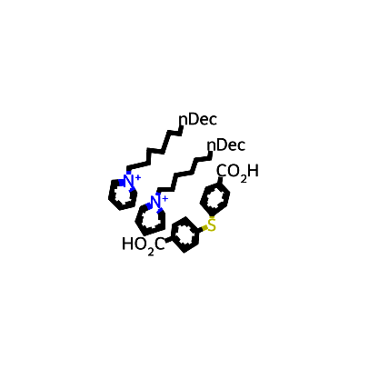 CCCCCCCCCCCCCCCC[n+]1ccccc1.CCCCCCCCCCCCCCCC[n+]1ccccc1.O=C(O)c1ccc(Sc2ccc(C(=O)O)cc2)cc1